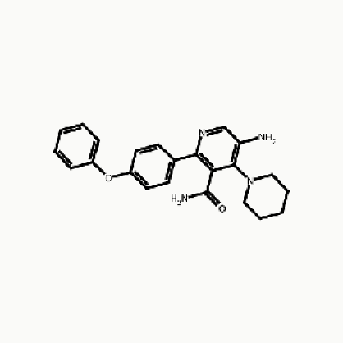 NC(=O)c1c(-c2ccc(Oc3ccccc3)cc2)ncc(N)c1N1CCCCC1